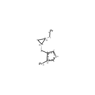 CC(C)C[C@H]1C[C@H]1Cc1cscc1C(C)C